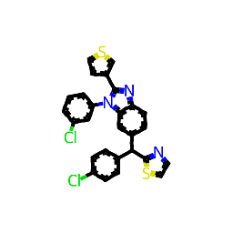 Clc1ccc(C(c2ccc3nc(-c4ccsc4)n(-c4cccc(Cl)c4)c3c2)c2nccs2)cc1